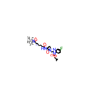 CN(C)C(=O)/C=C/CCCC(=O)Nc1cccn(Cc2nc3cc(F)ccc3n2C(=O)OCC2CC2)c1=O